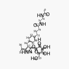 CC(=O)NCCNC(=O)CCCc1ccc(Cc2c(O[C@@H]3O[C@H](CO)[C@@H](O)[C@H](O)[C@H]3O)n[nH]c2C(C)C)cc1